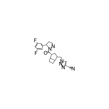 N#Cc1cn(CC2C[C@H](C(=O)N3N=CCC3c3cc(F)cc(F)c3)C3CCC23)nn1